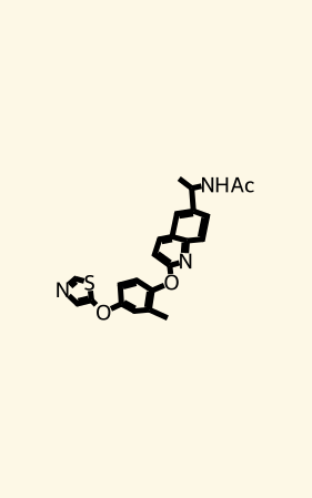 CC(=O)NC(C)c1ccc2nc(Oc3ccc(Oc4cncs4)cc3C)ccc2c1